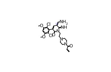 C=CC(=O)N1CCN(CCN2C(=N)/C(=C\N)C=C(c3c(Cl)c(OC)cc(OC)c3Cl)C2=O)CC1